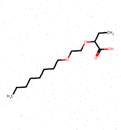 CCCCCCCCOCCOC(CC)C(=O)O